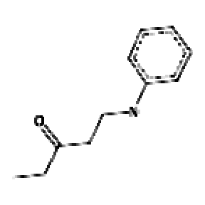 CCC(=O)CC[N]c1ccccc1